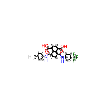 C[C@H]1CC[C@H](NC(=O)c2ccc(C(=O)N[C@H]3CC[C@@H](C(F)(F)F)CC3)c3c(C(=O)O)ccc(C(=O)O)c23)CC1